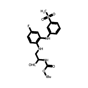 CC(C)(C)OC(=O)NC(C=O)CNc1ccc(F)cc1Nc1cccc(S(C)(=O)=O)c1